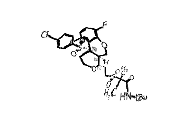 CC(C)(C)NC(=O)C(C)(C)S(=O)(=O)CC[C@@H]1OCC[C@@]2(S(=O)(=O)c3ccc(Cl)cc3)c3c(F)ccc(F)c3OC[C@@H]12